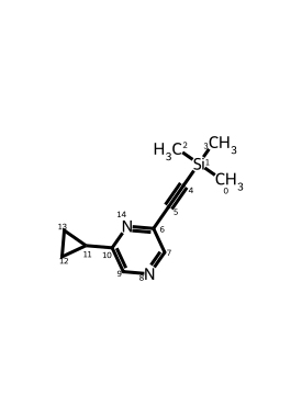 C[Si](C)(C)C#Cc1cncc(C2CC2)n1